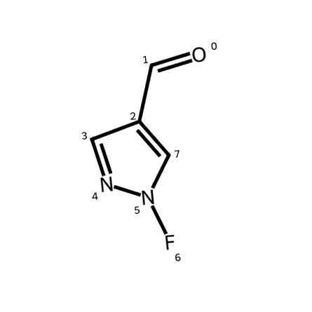 O=Cc1cnn(F)c1